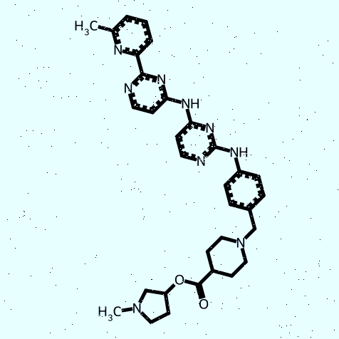 Cc1cccc(-c2nccc(Nc3ccnc(Nc4ccc(CN5CCC(C(=O)OC6CCN(C)C6)CC5)cc4)n3)n2)n1